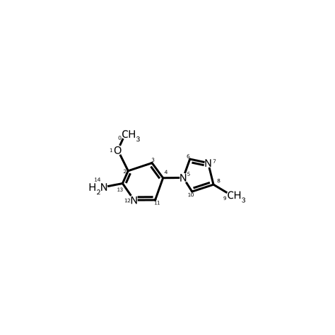 COc1cc(-n2cnc(C)c2)cnc1N